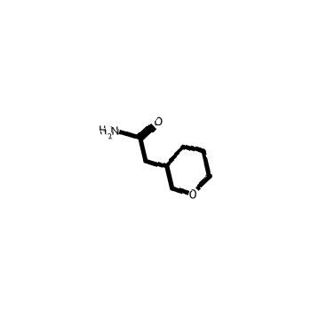 NC(=O)CC1CCCOC1